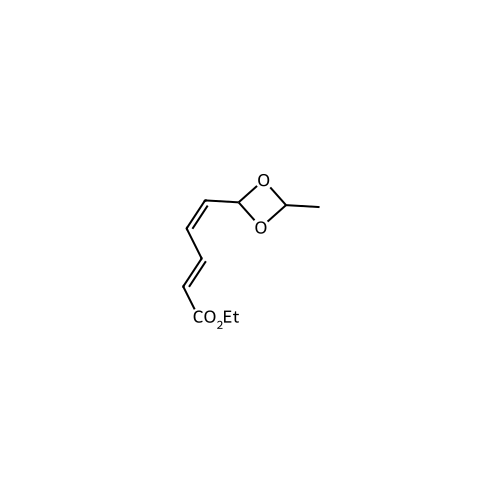 CCOC(=O)/C=C/C=C\C1OC(C)O1